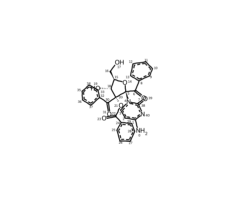 Nc1ccn([C@]2(C(=O)c3ccccc3)O[C@H](CO)[C@@H](O)[C@]2(OC(=O)c2ccccc2)C(=O)c2ccccc2)c(=O)n1